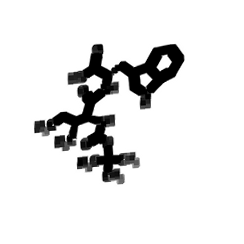 CC[C@H](C)[C@H](NC(=O)OC(C)(C)C)C(=O)N[C@@H](Cc1c[nH]c2ccccc12)C(=O)O